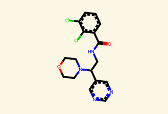 O=C(NCC(c1cncnc1)N1CCOCC1)c1cccc(Cl)c1Cl